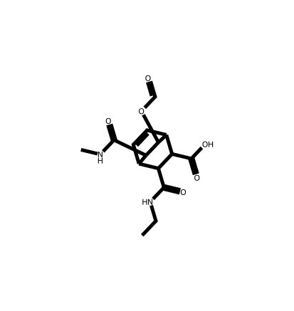 CCNC(=O)C1C2C=CC(C(OC=O)C2C(=O)NC)C1C(=O)O